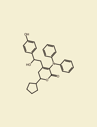 O=C1OC(C2CCCC2)CC(CC(O)c2ccc(O)cc2)=C1N(c1ccccc1)c1ccccc1